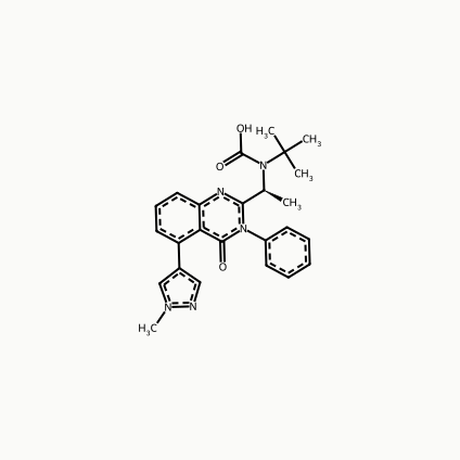 C[C@@H](c1nc2cccc(-c3cnn(C)c3)c2c(=O)n1-c1ccccc1)N(C(=O)O)C(C)(C)C